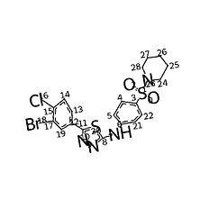 O=S(=O)(c1ccc(Nc2nnc(-c3ccc(Cl)c(Br)c3)s2)cc1)N1CCCCC1